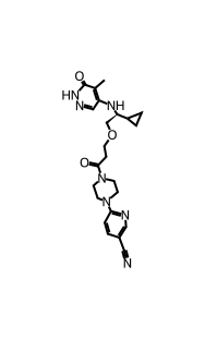 Cc1c(N[C@H](COCCC(=O)N2CCN(c3ccc(C#N)cn3)CC2)C2CC2)cn[nH]c1=O